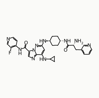 N[C@H](Cc1cccnc1)C(=O)N[C@H]1CC[C@H](Nc2cc(NC3CC3)c3ncc(C(=O)Nc4ccncc4F)n3n2)CC1